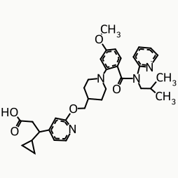 COc1ccc(C(=O)N(CC(C)C)c2ccccn2)c(N2CCC(COc3cc(C(CC(=O)O)C4CC4)ccn3)CC2)c1